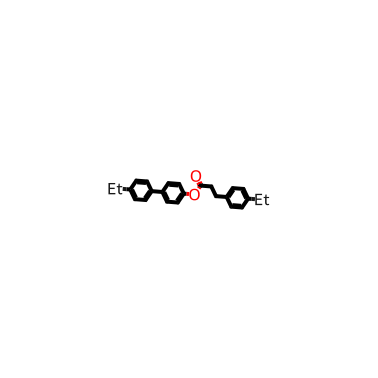 CCc1ccc(CCC(=O)Oc2ccc(-c3ccc(CC)cc3)cc2)cc1